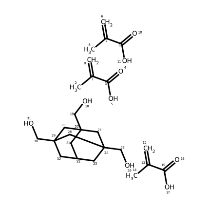 C=C(C)C(=O)O.C=C(C)C(=O)O.C=C(C)C(=O)O.OCC12CC3CC(CO)(C1)CC(CO)(C3)C2